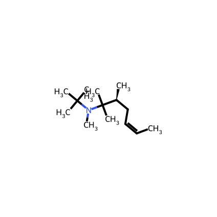 C/C=C\C[C@H](C)C(C)(C)N(C)C(C)(C)C